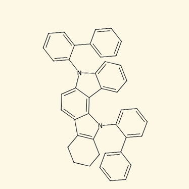 c1ccc(-c2ccccc2-n2c3c(c4ccc5c(c6ccccc6n5-c5ccccc5-c5ccccc5)c42)CCCC3)cc1